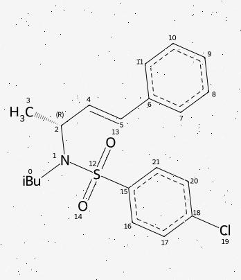 CCC(C)N([C@H](C)C=Cc1ccccc1)S(=O)(=O)c1ccc(Cl)cc1